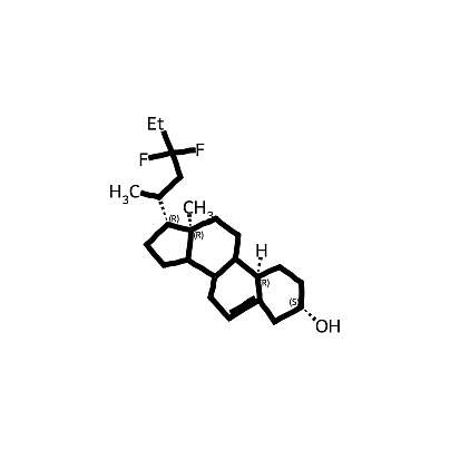 CCC(F)(F)CC(C)[C@H]1CCC2C3CC=C4C[C@@H](O)CC[C@@H]4C3CC[C@@]21C